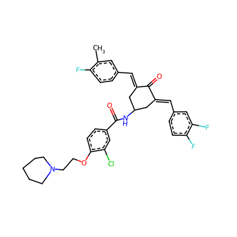 Cc1cc(/C=C2\CC(NC(=O)c3ccc(OCCN4CCCCC4)c(Cl)c3)C/C(=C\c3ccc(F)c(F)c3)C2=O)ccc1F